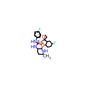 CC1CCC(NC(=O)Nc2ccc(F)cc2)C(OC2CCC(F)CC2[C@@]2(C(F)(F)F)CCO2)N1